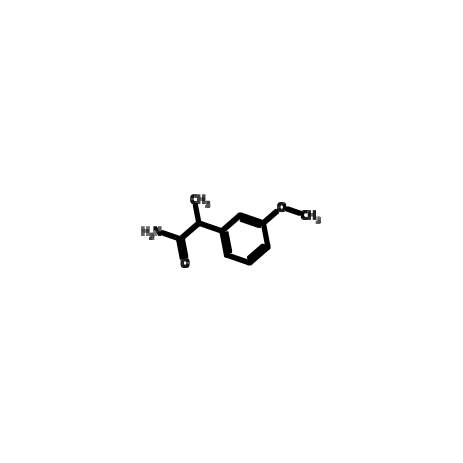 COc1cccc([C](C)C(N)=O)c1